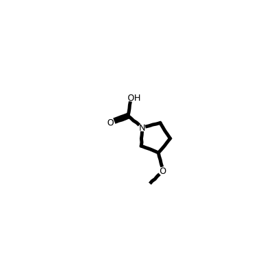 COC1CCN(C(=O)O)C1